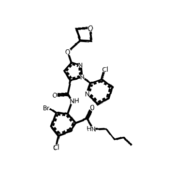 CCCCNC(=O)c1cc(Cl)cc(Br)c1NC(=O)c1cc(OC2COC2)nn1-c1ncccc1Cl